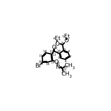 CCOC(OCC)c1ccccc1C(=O)c1ccc(Br)cc1ON=C(C)C